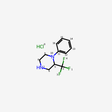 Cl.FC(F)(F)C1CNCCN1c1ccccc1